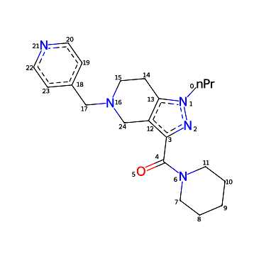 CCCn1nc(C(=O)N2CCCCC2)c2c1CCN(Cc1ccncc1)C2